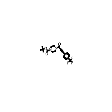 CC(C)(C)OC(=O)N1CCN(C(=O)C#Cc2ccc(C(F)(F)F)cc2)CC1